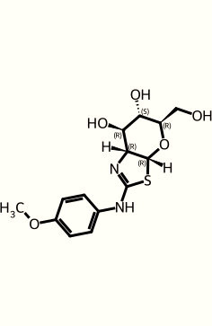 COc1ccc(NC2=N[C@@H]3[C@@H](O)[C@H](O)[C@@H](CO)O[C@@H]3S2)cc1